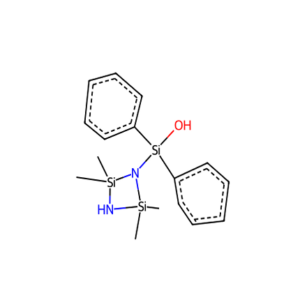 C[Si]1(C)N[Si](C)(C)N1[Si](O)(c1ccccc1)c1ccccc1